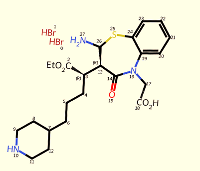 Br.Br.CCOC(=O)[C@H](CCCC1CCNCC1)[C@@H]1C(=O)N(CC(=O)O)c2ccccc2SC1N